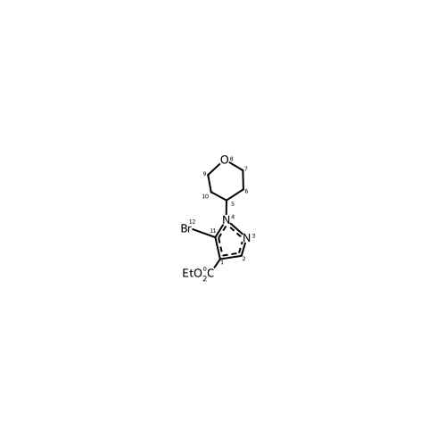 CCOC(=O)c1cnn(C2CCOCC2)c1Br